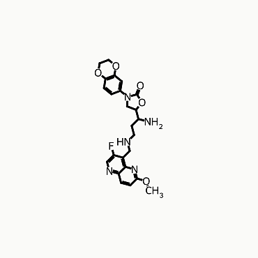 COc1ccc2ncc(F)c(CNCCC(N)C3CN(c4ccc5c(c4)OCCO5)C(=O)O3)c2n1